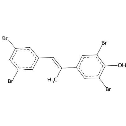 C/C(=C\c1cc(Br)cc(Br)c1)c1cc(Br)c(O)c(Br)c1